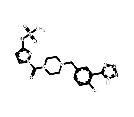 CS(=O)(=O)Nc1ccn(C(=O)N2CCN(Cc3ccc(Cl)c(-c4nnn[nH]4)c3)CC2)n1